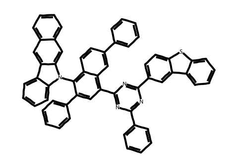 c1ccc(-c2ccc3c(-n4c5ccccc5c5cc6ccccc6cc54)c(-c4ccccc4)cc(-c4nc(-c5ccccc5)nc(-c5ccc6sc7ccccc7c6c5)n4)c3c2)cc1